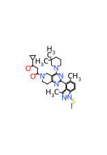 Cc1ccc2c(c(C)nn2SI)c1-c1nc2c(c(N3CCCC(C)(C)C3)n1)CN(C(=O)CC(=O)C1CC1)CC2